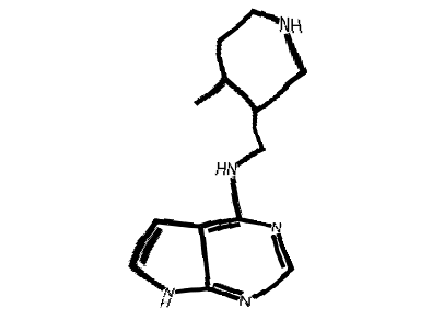 CC1CCNCC1CNc1ncnc2[nH]ccc12